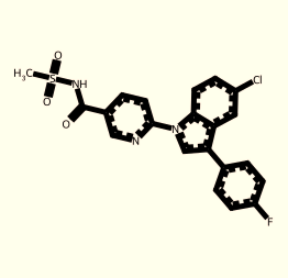 CS(=O)(=O)NC(=O)c1ccc(-n2cc(-c3ccc(F)cc3)c3cc(Cl)ccc32)nc1